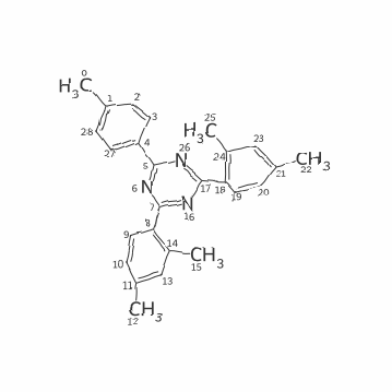 Cc1ccc(-c2nc(-c3ccc(C)cc3C)nc(-c3ccc(C)cc3C)n2)cc1